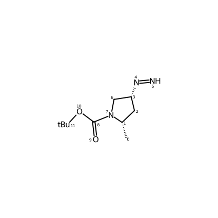 C[C@H]1C[C@@H](N=N)CN1C(=O)OC(C)(C)C